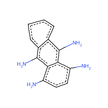 Nc1ccc(N)c2c(N)c3ccccc3c(N)c12